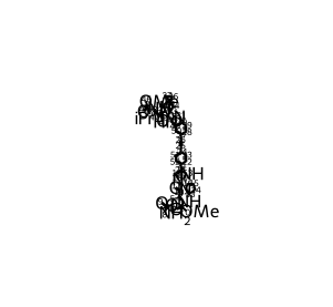 COC(=O)N[C@@H](COC(N)=O)C(=O)N1CCC[C@H]1c1ncc(-c2ccc(C#Cc3ccc4nc([C@@H]5CC6(CC6)CN5C(=O)[C@@H](NC(=O)OC)C(C)C)[nH]c4c3)cc2)[nH]1